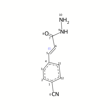 N#Cc1ccc(/C=C/C(=O)NN)cc1